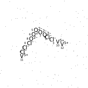 [Cl-].[Cl-].[Cl-].[Cl-].[Cl-].[O-2].[O-2].[O-2].[O-2].[O-2].[V+5].[V+5].[V+5]